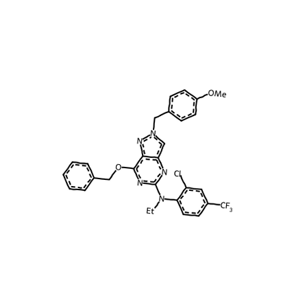 CCN(c1nc(OCc2ccccc2)c2nn(Cc3ccc(OC)cc3)cc2n1)c1ccc(C(F)(F)F)cc1Cl